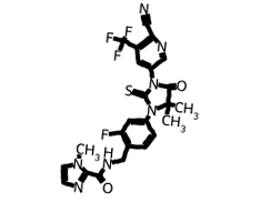 Cn1ccnc1C(=O)NCc1ccc(N2C(=S)N(c3cnc(C#N)c(C(F)(F)F)c3)C(=O)C2(C)C)cc1F